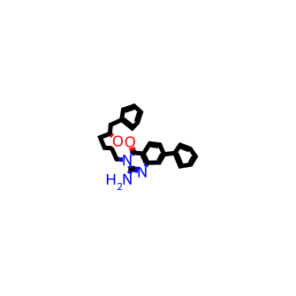 Nc1nc2cc(-c3ccccc3)ccc2c(=O)n1CC1CCC(Cc2ccccc2)O1